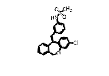 CS(=O)(=O)Nc1cccc(/C=C2/c3ccccc3COc3cc(Cl)ccc32)c1